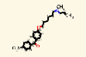 C=CCN(C)CCCCCCOc1ccc(C(=O)c2ccc([N+](=O)[O-])cc2)cc1